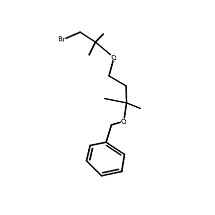 CC(C)(CBr)OCCC(C)(C)OCc1ccccc1